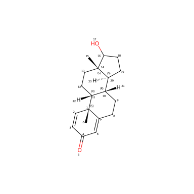 C[C@]12C=CC(=O)C=C1CC[C@@H]1[C@H]2CC[C@]2(C)C(O)CC[C@@H]12